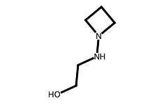 OCCNN1CCC1